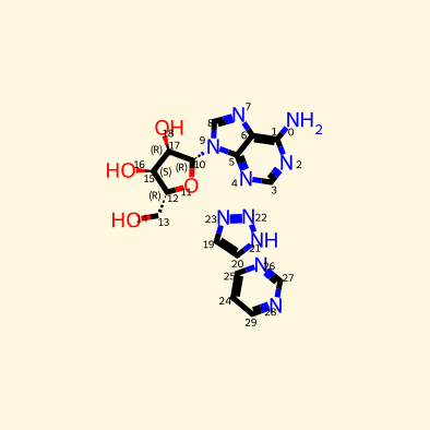 Nc1ncnc2c1ncn2[C@@H]1O[C@H](CO)[C@@H](O)[C@H]1O.c1c[nH]nn1.c1cncnc1